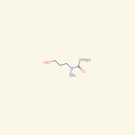 CCCCCCCC(=O)N(CCCO)C(C)(C)C